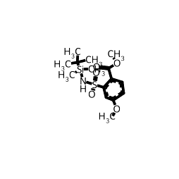 COC(=O)c1ccc(OC)cc1S(=O)(=O)N[Si](C)(C)C(C)(C)C